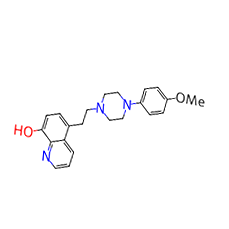 COc1ccc(N2CCN(CCc3ccc(O)c4ncccc34)CC2)cc1